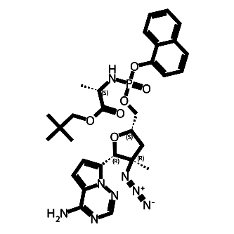 C[C@H](NP(=O)(OC[C@@H]1C[C@@](C)(N=[N+]=[N-])[C@H](c2ccc3c(N)ncnn23)O1)Oc1cccc2ccccc12)C(=O)OCC(C)(C)C